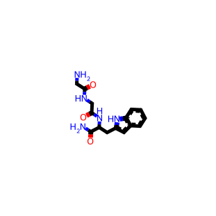 NCC(=O)NCC(=O)NC(Cc1cc2ccccc2[nH]1)C(N)=O